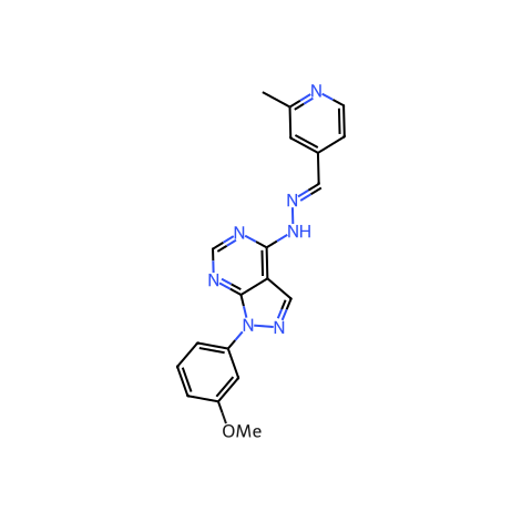 COc1cccc(-n2ncc3c(N/N=C/c4ccnc(C)c4)ncnc32)c1